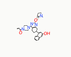 C=CC(=O)N1CCN(c2nc(OC[C@@H]3CCCN3C)nc3c2CCC(c2cc(O)cc4ccccc24)C3)CC1